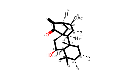 C=C1C(=O)[C@@]23C[C@H](O)[C@@H]4C(C)(C)[C@@H](C)[C@@H](C)C[C@@]4(C)[C@@H]2[C@@H](C)[C@H](OC(C)=O)[C@H]1C3